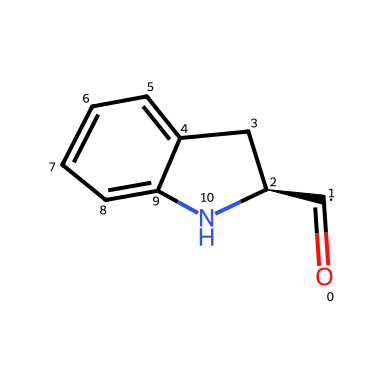 O=[C][C@@H]1Cc2ccccc2N1